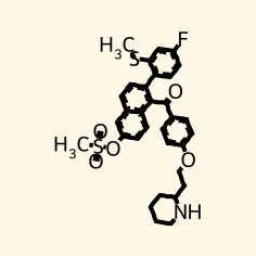 CSc1cc(F)ccc1-c1ccc2cc(OS(C)(=O)=O)ccc2c1C(=O)c1ccc(OCCC2CCCCN2)cc1